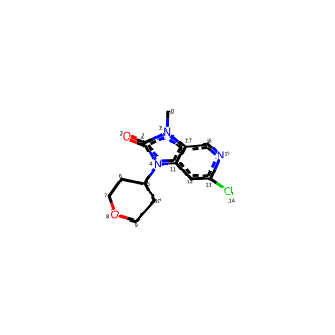 Cn1c(=O)n(C2CCOCC2)c2cc(Cl)ncc21